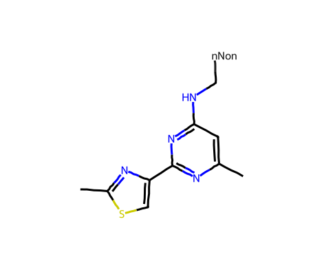 CCCCCCCCCCNc1cc(C)nc(-c2csc(C)n2)n1